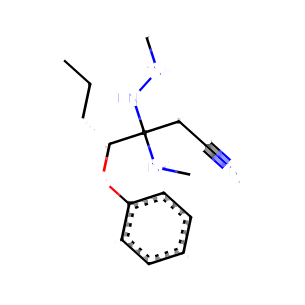 CCC[C@@H](Oc1ccccc1)C(CC#N)(NC)NNC